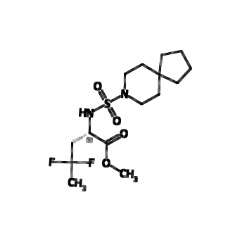 COC(=O)[C@H](CC(C)(F)F)NS(=O)(=O)N1CCC2(CCCC2)CC1